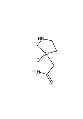 C=C(N)C[N+]1([O-])CCNC1